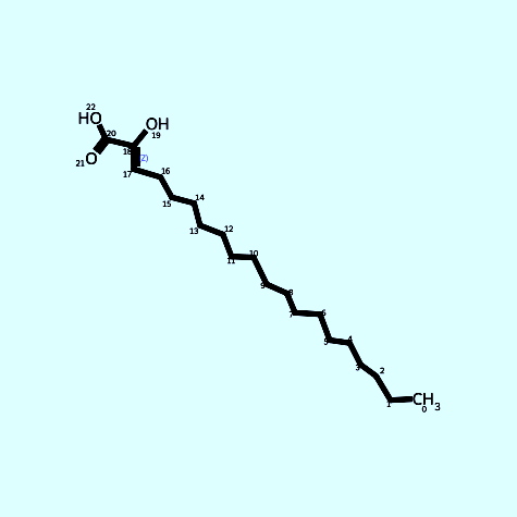 CCCCCCCCCCCCCCCCC/C=C(\O)C(=O)O